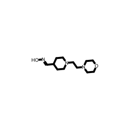 ON=CC1CCN(CCN2CCOCC2)CC1